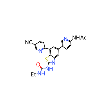 CCNC(=O)Nc1nc2cc(-c3ccc(NC(C)=O)nc3)cc(-c3ccc(C#N)cn3)c2s1